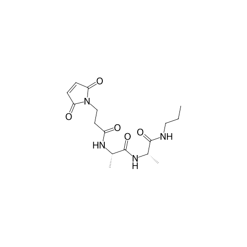 CCCNC(=O)[C@H](C)NC(=O)[C@H](C)NC(=O)CCN1C(=O)C=CC1=O